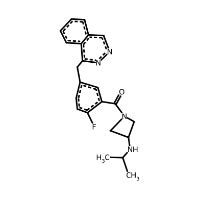 CC(C)NC1CN(C(=O)c2cc(Cc3nncc4ccccc34)ccc2F)C1